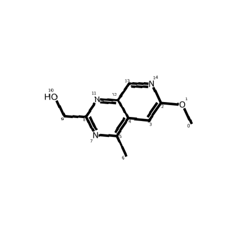 COc1cc2c(C)nc(CO)nc2cn1